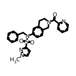 Cn1ccc(S(=O)(=O)N(Cc2ccccc2)c2ccc3c(c2)CCN(C(=O)c2ccccn2)C3)n1